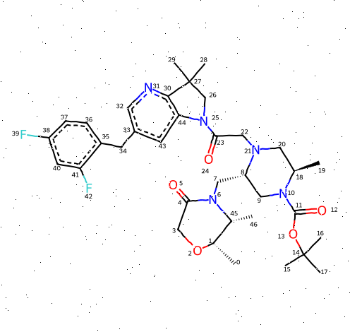 C[C@@H]1OCC(=O)N(C[C@H]2CN(C(=O)OC(C)(C)C)[C@H](C)CN2CC(=O)N2CC(C)(C)c3ncc(Cc4ccc(F)cc4F)cc32)[C@@H]1C